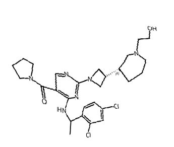 CC(Nc1nc(N2CC([C@H]3CCCN(CCO)C3)C2)ncc1C(=O)N1CCCC1)c1ccc(Cl)cc1Cl